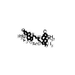 CC(=O)OC(CC[S+]([O-])CCC(OC(C)=O)[C@@H]1CC(=O)[C@@]2(C)CCC3C(CCC4=CC(=O)C=C(C)[C@@]43C)C12)[C@@H]1CC(=O)[C@@]2(C)CCC3C(CCC4=CC(=O)C=C(C)[C@@]43C)C12